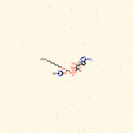 CCCCCCCCCCCCCCCCCCOC[C@H](COP(=O)(O)OC1[C@H]2O[C@@](C#N)(c3ccc4c(N)ncnn34)[C@H](O)[C@@]12O)Oc1cnc(C#N)nc1